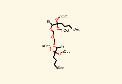 CCCCCCCCCCCCCC(OCCCCCCCC)(OCCCCCCCC)C(CC)OCOCOC(CC)C(CCCCCCCCCCCCC)(OCCCCCCCC)OCCCCCCCC